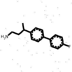 CC(CCN)c1ccc(-c2ccc(F)cc2)cc1